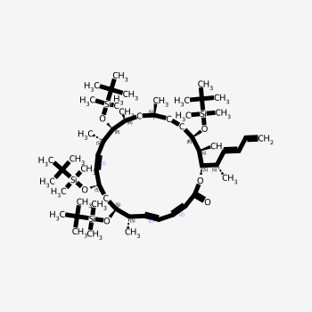 C=CC=C[C@H](C)[C@@H]1OC(=O)/C=C\C=C\[C@H](C)[C@@H](O[Si](C)(C)C(C)(C)C)C[C@H](O[Si](C)(C)C(C)(C)C)/C=C\[C@H](C)[C@H](O[Si](C)(C)C(C)(C)C)[C@H](C)C[C@@H](C)CC[C@@H](O[Si](C)(C)C(C)(C)C)[C@H]1C